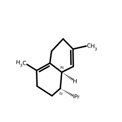 CC1=C[C@@H]2C(=C(C)CC[C@H]2C(C)C)CC1